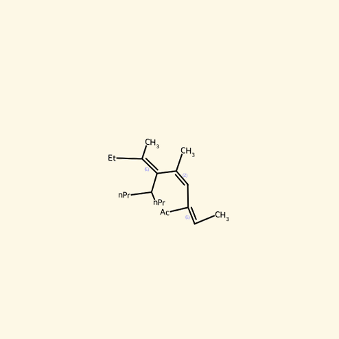 C\C=C(/C=C(C)\C(=C(/C)CC)C(CCC)CCC)C(C)=O